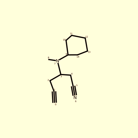 C#CCC(CC#N)N(C)C1CCCCC1